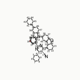 N#Cc1c(-c2ccccc2)nc(-c2ccccc2)nc1-c1cccc2oc3ccc(-n4c5ccccc5c5cc(-c6ccccc6)ccc54)cc3c12